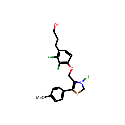 COc1ccc(C2=C(COc3ccc(CCCO)c(F)c3F)N(Cl)CS2)cc1